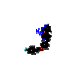 Nc1ncccc1-c1cc(Cc2ccc(OCCc3ccc(F)cc3)cc2)no1